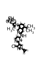 CC(C)c1ccc(N2C[C@H](CS(C)(=O)=O)[C@H]2C)c2cnc(Nc3ccnc(-c4cn(C5CC5)nc4Cl)n3)cc12